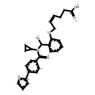 [2H]C(c1ccccc1OC/C=C\CCC(=O)O)N(C(=O)c1ccc(-c2ccco2)cc1)C1CC1